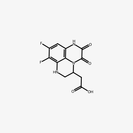 O=C(O)CC1CNc2c(F)c(F)cc3[nH]c(=O)c(=O)n1c23